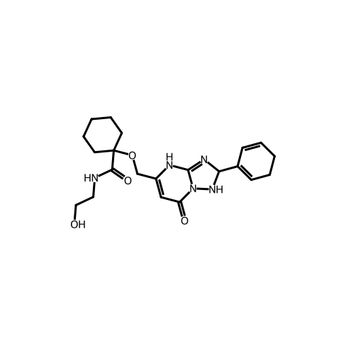 O=C1C=C(COC2(C(=O)NCCO)CCCCC2)NC2=NC(C3=CCCC=C3)NN12